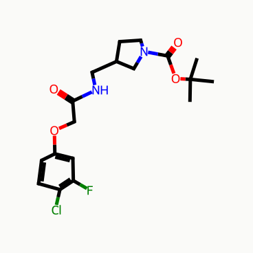 CC(C)(C)OC(=O)N1CCC(CNC(=O)COc2ccc(Cl)c(F)c2)C1